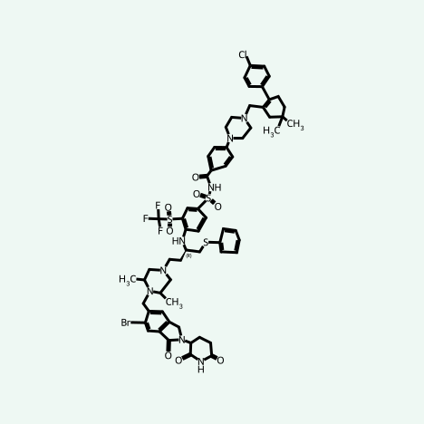 CC1CN(CC[C@H](CSc2ccccc2)Nc2ccc(S(=O)(=O)NC(=O)c3ccc(N4CCN(CC5=C(c6ccc(Cl)cc6)CCC(C)(C)C5)CC4)cc3)cc2S(=O)(=O)C(F)(F)F)CC(C)N1Cc1cc2c(cc1Br)C(=O)N(C1CCC(=O)NC1=O)C2